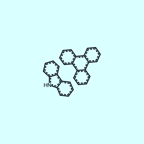 c1ccc2c(c1)[nH]c1ccccc12.c1ccc2c(c1)c1ccccc1c1ccccc21